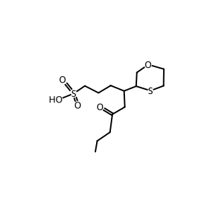 CCCC(=O)CC(CCCS(=O)(=O)O)C1COCCS1